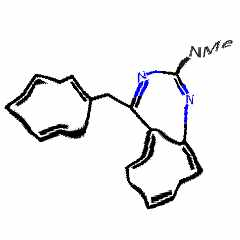 CNc1nc(-c2ccccc2)c2ccccc2n1